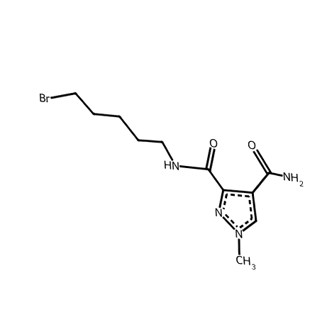 Cn1cc(C(N)=O)c(C(=O)NCCCCCBr)n1